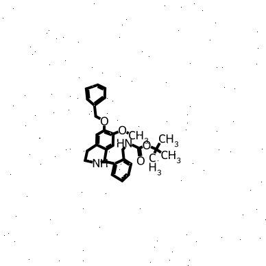 COc1cc2c(cc1OCc1ccccc1)CCNC2c1ccccc1CNC(=O)OC(C)(C)C